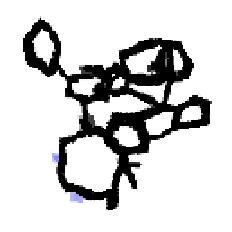 C=C1/C=C\C=C/CN(c2nc(-c3ccccc3)nc(-c3ccccc3)n2)c2cc3c(cc2C1(C)C)-c1ccccc1C3(c1ccccc1)c1ccccc1